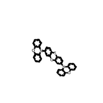 c1ccc2c(c1)Oc1ccccc1N2c1ccc2c(c1)Oc1cc(N3c4ccccc4Oc4ccccc43)ccc1S2